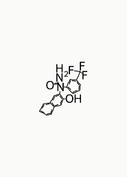 NC(=O)N(c1cccc(C(F)(F)F)c1)c1cc2ccccc2cc1O